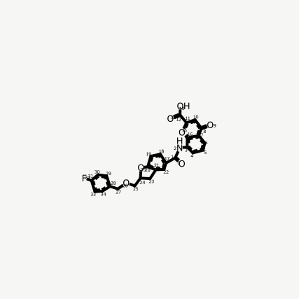 O=C(Nc1cccc2c(=O)cc(C(=O)O)oc12)c1ccc2c(c1)CC(COCc1ccc(F)cc1)O2